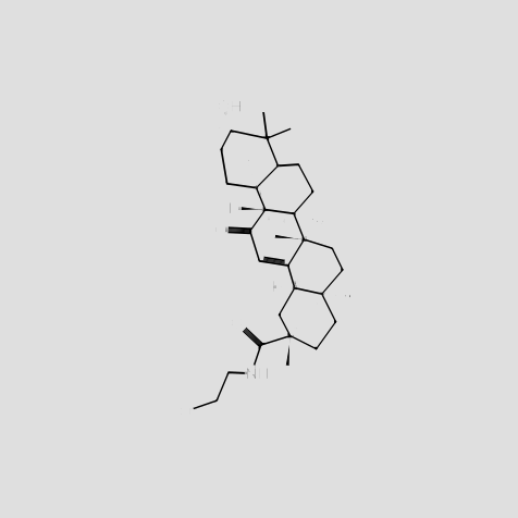 CC1(C)C2CC[C@]3(C)[C@H](C(=O)C=C4[C@@H]5C[C@@](C)(C(=O)NCCO)CC[C@]5(C)CC[C@]43C)[C@@]2(C)CC[C@@H]1O